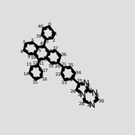 c1ccc(-c2c3ccccc3c(-c3ccccc3)c3cc(-c4ccc(-c5cn6cncnc6n5)cc4)ccc23)cc1